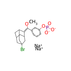 COC(=C1C2CC3CC1CC(Br)(C3)C2)c1cccc(OP(=O)([O-])[O-])c1.[Na+].[Na+]